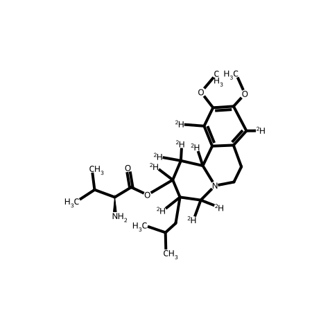 [2H]c1c2c(c([2H])c(OC)c1OC)C1([2H])N(CC2)C([2H])([2H])C([2H])(CC(C)C)C([2H])(OC(=O)[C@@H](N)C(C)C)C1([2H])[2H]